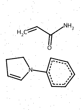 C1=CN(c2ccccc2)CC1.C=CC(N)=O